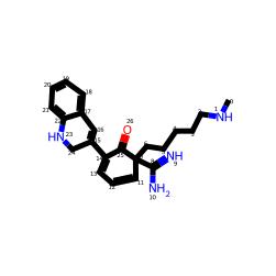 CNCCCCCC1(C(=N)N)C=CC=C(C2=Cc3ccccc3NC2)C1=O